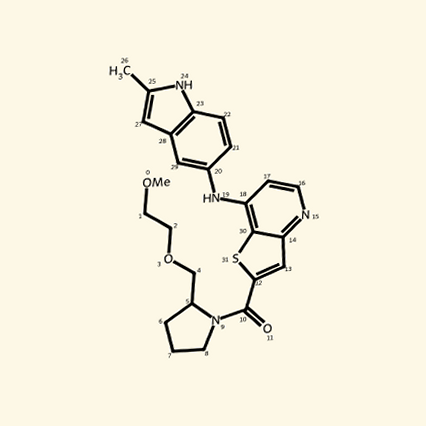 COCCOCC1CCCN1C(=O)c1cc2nccc(Nc3ccc4[nH]c(C)cc4c3)c2s1